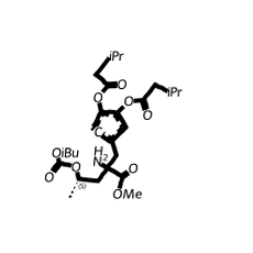 COC(=O)C(N)(Cc1ccc(OC(=O)CC(C)C)c(OC(=O)CC(C)C)c1)C[C@H](C)OC(=O)OCC(C)C